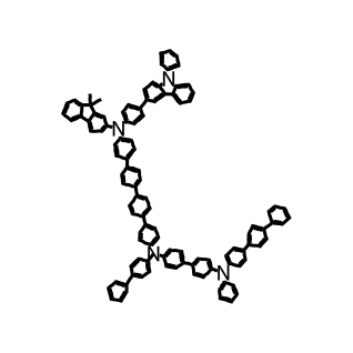 CC1(C)c2ccccc2-c2ccc(N(c3ccc(-c4ccc(-c5ccc(-c6ccc(N(c7ccc(-c8ccccc8)cc7)c7ccc(-c8ccc(N(c9ccccc9)c9ccc(-c%10ccc(-c%11ccccc%11)cc%10)cc9)cc8)cc7)cc6)cc5)cc4)cc3)c3ccc(-c4ccc5c(c4)c4ccccc4n5-c4ccccc4)cc3)cc21